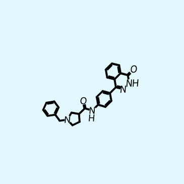 O=C(Nc1ccc(-c2n[nH]c(=O)c3ccccc23)cc1)C1CCN(Cc2ccccc2)C1